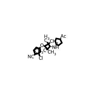 CC(=O)[C@H]1CC[C@H](N[C@H]2C(C)(C)[C@H](Oc3ccc(C#N)c(Cl)c3)C2(C)C)CC1